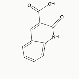 O=C(O)c1cc2ccccc2[nH]c1=O